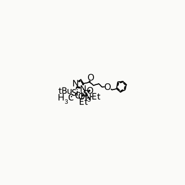 CCN(CC)S(=O)(=O)n1c(C(=O)CCCOCc2ccccc2)cnc1[Si](C)(C)C(C)(C)C